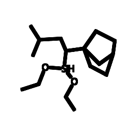 CCO[SiH](OCC)C(CC(C)C)C12CCC(CC1)C2